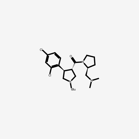 CN(C)C[C@@H]1CCCN1C(=O)[C@@H]1CN(C(C)(C)C)C[C@H]1c1ccc(Cl)cc1Cl